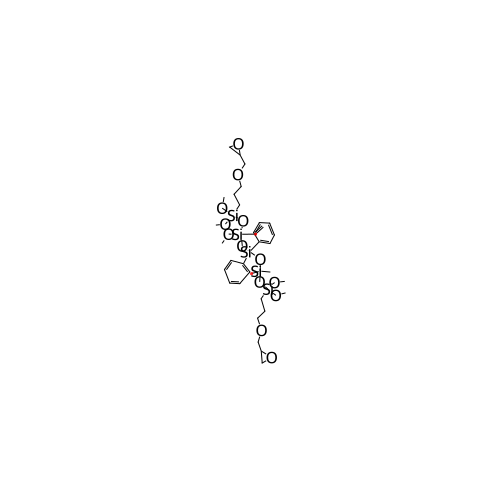 C=C[Si](OC)(O[Si](CCCOCC1CO1)(OC)OC)O[Si](O[Si](C)(C)O[Si](CCCOCC1CO1)(OC)OC)(c1ccccc1)c1ccccc1